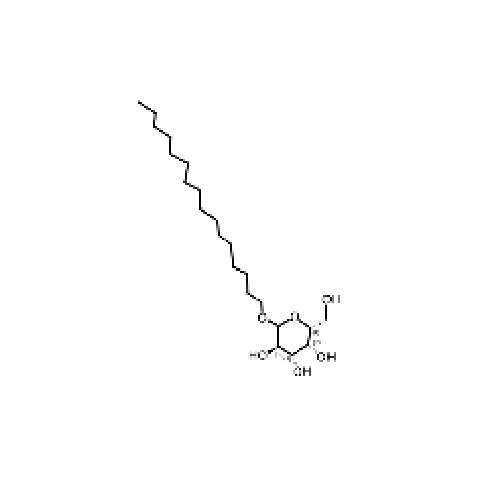 CCCCCCCCCCCCCCCCOC1O[C@H](CO)[C@H](O)[C@H](O)[C@H]1O